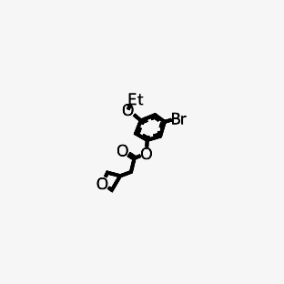 CCOc1cc(Br)cc(OC(=O)CC2COC2)c1